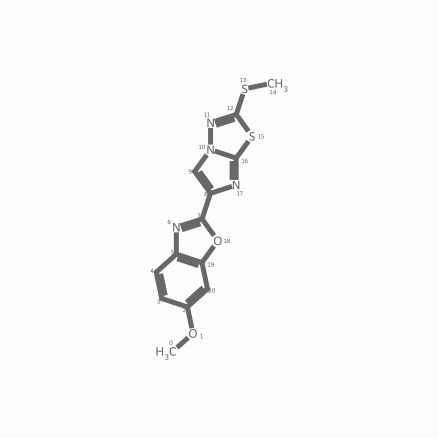 COc1ccc2nc(-c3cn4nc(SC)sc4n3)oc2c1